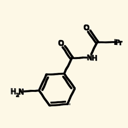 CC(C)C(=O)NC(=O)c1c[c]cc(N)c1